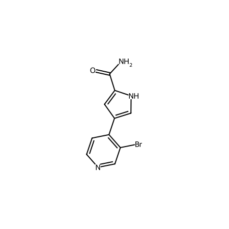 NC(=O)c1cc(-c2ccncc2Br)c[nH]1